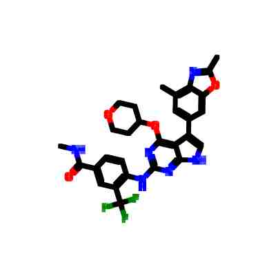 CNC(=O)c1ccc(Nc2nc(OC3CCOCC3)c3c(-c4cc(C)c5nc(C)oc5c4)c[nH]c3n2)c(C(F)(F)F)c1